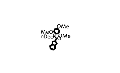 CCCCCCCCCCN(C(=O)C1Cc2ccccc2C1)c1c(OC)cc(OC)cc1OC